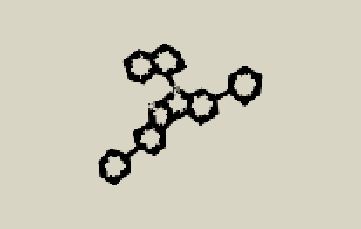 c1ccc(-c2ccc3c(c2)oc2c3c3ccc(-c4ccccc4)cc3n2-c2cccc3ccccc23)cc1